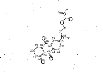 C=C(C)C(=O)OCCN(C)c1ccc2c(c1)C(=O)c1cccc(Cl)c1C2=O